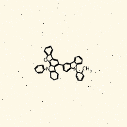 CC1C=CC=CC1n1c2ccccc2c2cc(-c3cc4c5ccccc5oc4c4c3c3c(n4-c4ccccc4)CCC=C3)ccc21